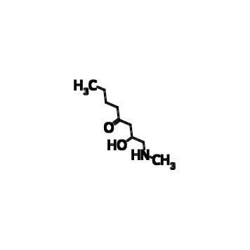 CCCCC(=O)CC(O)CNC